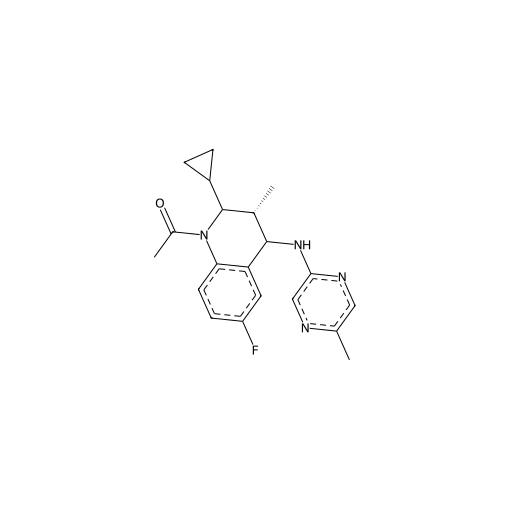 CC(=O)N1c2ccc(F)cc2C(Nc2cnc(C)cn2)[C@@H](C)C1C1CC1